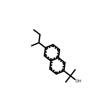 CCC(I)c1ccc2cc(C(C)(C)O)ccc2c1